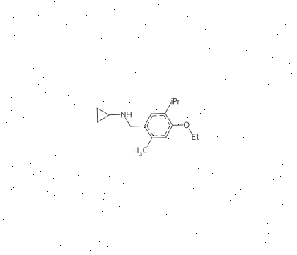 CCOc1cc(C)c(CNC2CC2)cc1C(C)C